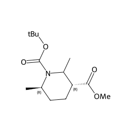 COC(=O)[C@@H]1CC[C@@H](C)N(C(=O)OC(C)(C)C)C1C